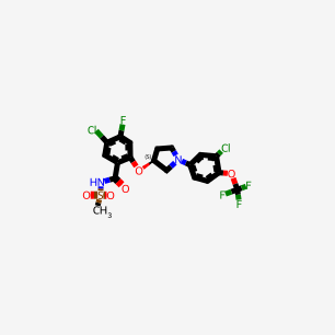 CS(=O)(=O)NC(=O)c1cc(Cl)c(F)cc1O[C@H]1CCN(c2ccc(OC(F)(F)F)c(Cl)c2)C1